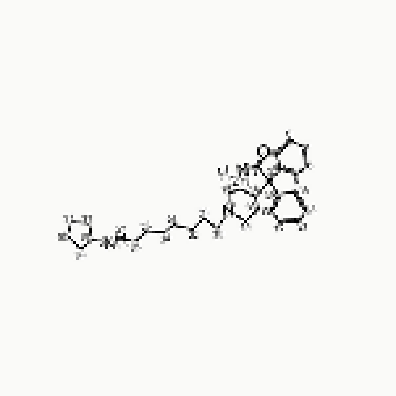 NC(=O)C(c1ccccc1)(c1ccccc1)C1CCN(CCCCCCCCNC2CCCC2)CC1